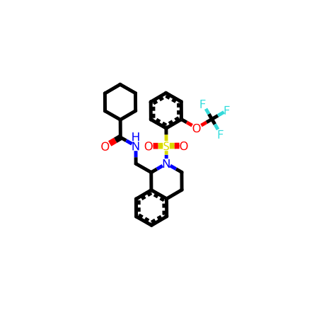 O=C(NCC1c2ccccc2CCN1S(=O)(=O)c1ccccc1OC(F)(F)F)C1CCCCC1